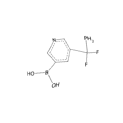 OB(O)c1cncc(C(F)(F)P)c1